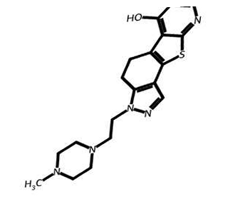 CN1CCN(CCn2ncc3c2CCc2c-3sc3ncnc(O)c23)CC1